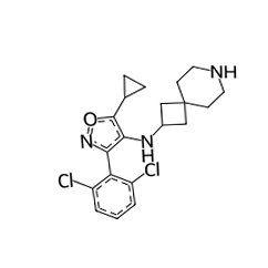 Clc1cccc(Cl)c1-c1noc(C2CC2)c1NC1CC2(CCNCC2)C1